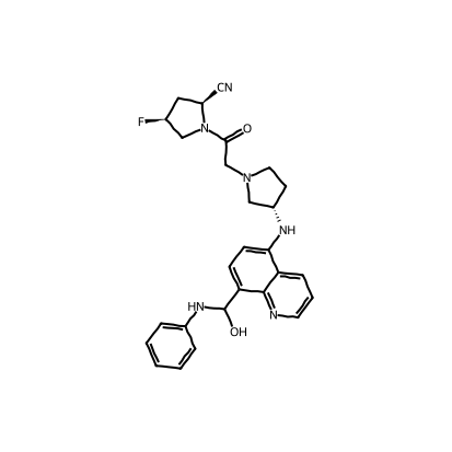 N#C[C@@H]1C[C@H](F)CN1C(=O)CN1CC[C@H](Nc2ccc(C(O)Nc3ccccc3)c3ncccc23)C1